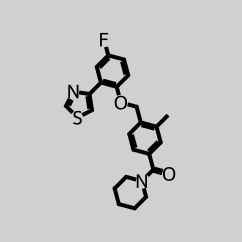 Cc1cc(C(=O)N2CCCCC2)ccc1COc1ccc(F)cc1-c1cscn1